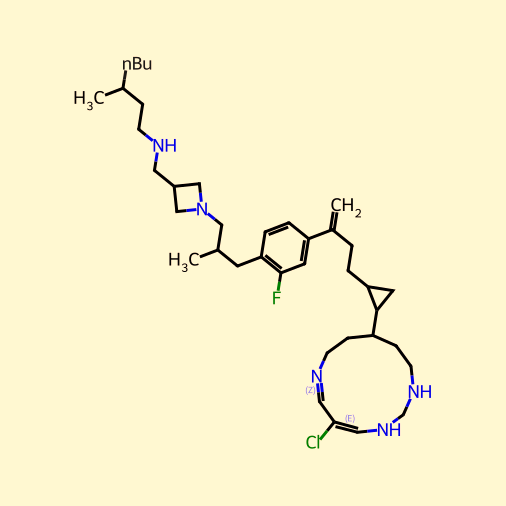 C=C(CCC1CC1C1CC/N=C\C(Cl)=C/NCNCC1)c1ccc(CC(C)CN2CC(CNCCC(C)CCCC)C2)c(F)c1